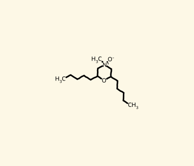 CCCCCC1C[N+](C)([O-])CC(CCCCC)O1